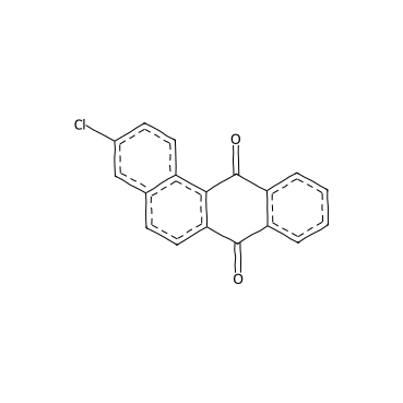 O=C1c2ccccc2C(=O)c2c1ccc1cc(Cl)ccc21